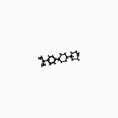 OB(O)c1ccc(N2CCC(N3CCOCC3)CC2)cc1